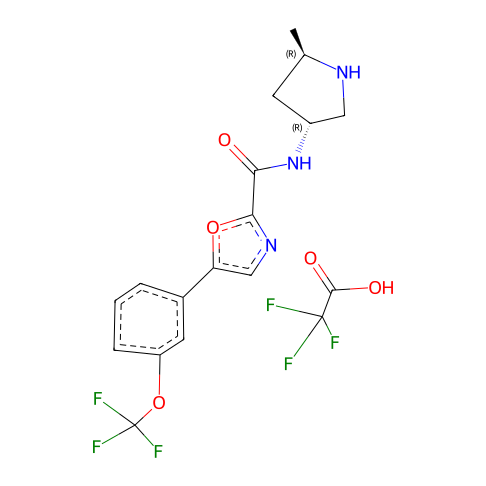 C[C@@H]1C[C@@H](NC(=O)c2ncc(-c3cccc(OC(F)(F)F)c3)o2)CN1.O=C(O)C(F)(F)F